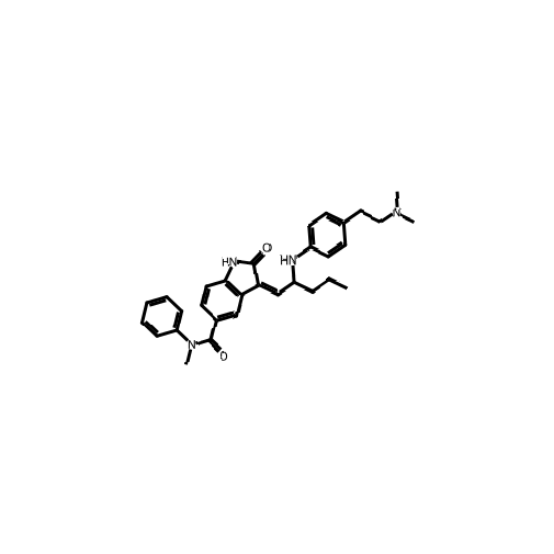 CCCC(C=C1C(=O)Nc2ccc(C(=O)N(C)c3ccccc3)cc21)Nc1ccc(CCN(C)C)cc1